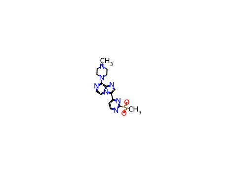 CN1CCN(c2nccn3c(-c4ccnc(S(C)(=O)=O)n4)cnc23)CC1